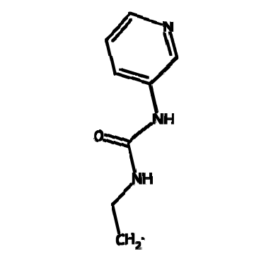 [CH2]CNC(=O)Nc1cccnc1